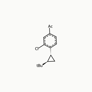 CC(=O)c1ccc([C@@H]2C[C@H]2C(C)(C)C)c(Cl)c1